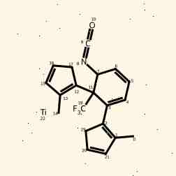 CC1=C(C2=CC=CC(N=C=O)C2(C2=C(C)C=CC2)C(F)(F)F)CC=C1.[Ti]